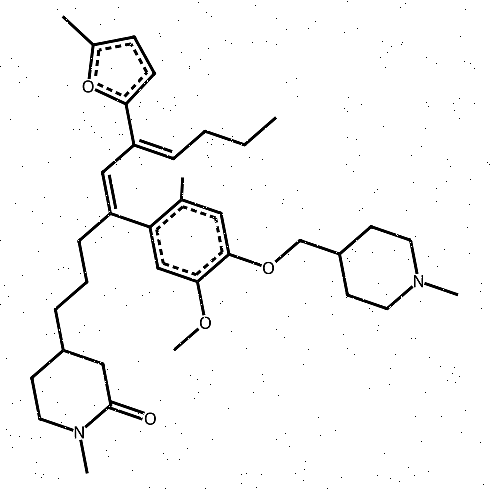 CCC/C=C(/C=C(/CCCC1CCN(C)C(=O)C1)c1cc(OC)c(OCC2CCN(C)CC2)cc1C)c1ccc(C)o1